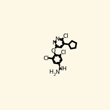 NNc1cc(Cl)c(Oc2cc(C3CCCC3)c(Cl)nn2)c(Cl)c1